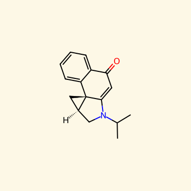 CC(C)N1C[C@H]2C[C@@]23C1=CC(=O)c1ccccc13